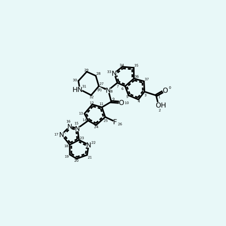 O=C(O)c1ccc2c(N(C(=O)c3ccc(-n4nnc5cccnc54)cc3F)[C@@H]3CCCNC3)nccc2c1